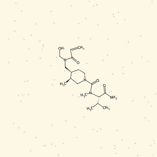 C=CC(=O)N(CO)C[C@H]1CCN(C(=O)N(C)[C@H](C(N)=O)C(C)C)C[C@H]1C